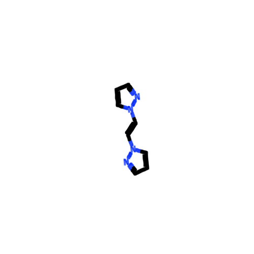 C(=Cn1cccn1)n1cccn1